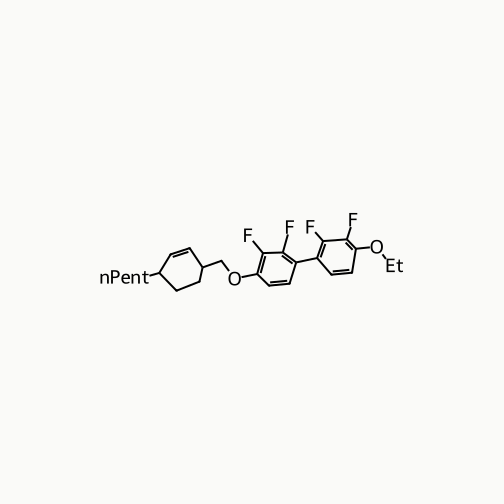 CCCCCC1C=CC(COc2ccc(-c3ccc(OCC)c(F)c3F)c(F)c2F)CC1